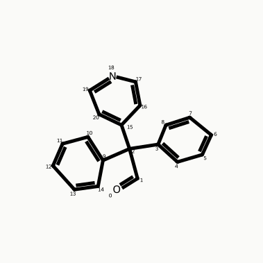 O=CC(c1ccccc1)(c1ccccc1)c1ccncc1